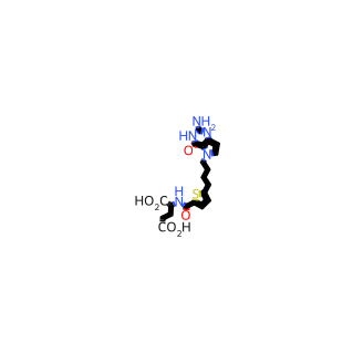 Nc1nc2ccn(CCCCc3ccc(C(=O)NC(CCC(=O)O)C(=O)O)s3)c2c(=O)[nH]1